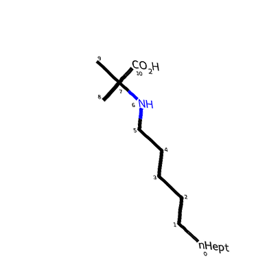 CCCCCCCCCCCCNC(C)(C)C(=O)O